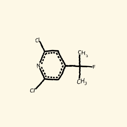 CC(C)(F)c1cc(Cl)nc(Cl)c1